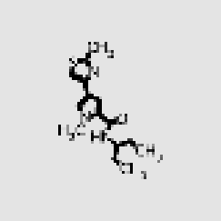 CCC(CC)NC(=O)c1cc(-c2csc(C)n2)cn1C